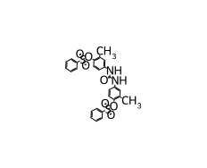 Cc1cc(NC(=O)Nc2ccc(OS(=O)(=O)c3ccccc3)c(C)c2)ccc1OS(=O)(=O)c1ccccc1